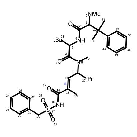 CNC(C(=O)NC(C(=O)N(C)C(/C=C(\C)C(=O)NS(=O)(=O)Cc1ccccc1)C(C)C)C(C)(C)C)C(C)(C)c1ccccc1